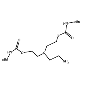 CCCCNC(=O)OCCN(CCN)CCOC(=O)NCCCC